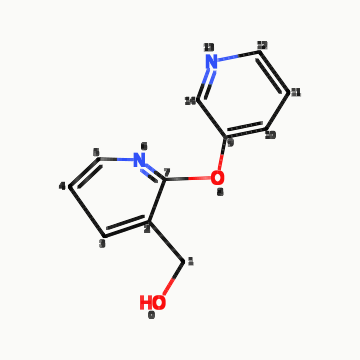 OCc1cccnc1Oc1cccnc1